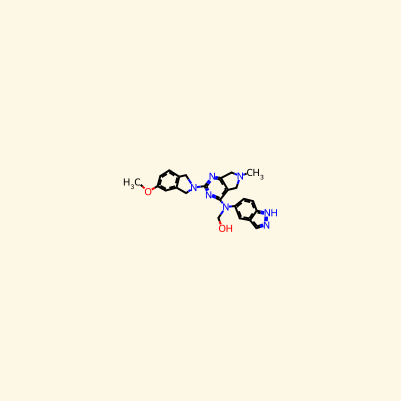 COc1ccc2c(c1)CN(c1nc3c(c(N(CO)c4ccc5[nH]ncc5c4)n1)CN(C)C3)C2